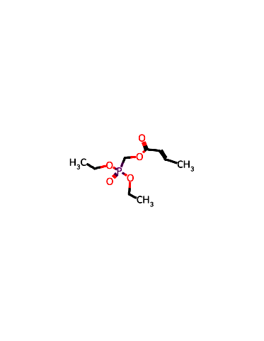 C/C=C/C(=O)OCP(=O)(OCC)OCC